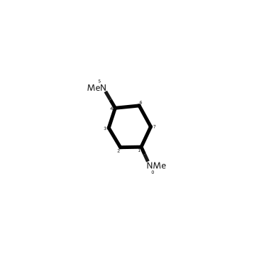 CNC1CCC(NC)CC1